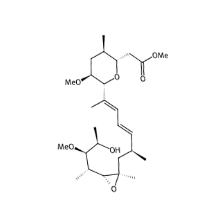 COC(=O)C[C@@H]1O[C@H](/C(C)=C/C=C/[C@@H](C)C[C@@]2(C)O[C@@H]2[C@H](C)[C@@H](OC)[C@@H](C)O)[C@@H](OC)C[C@H]1C